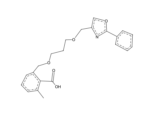 Cc1cccc(COCCCOCc2coc(-c3ccccc3)n2)c1C(=O)O